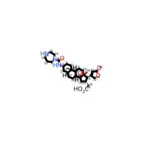 C[C@]12CC[C@H](NC(=O)N3CCCNCC3)C[C@H]1CC[C@@H]1[C@@H]2CC[C@]2(C)[C@@H](C3=CC(=O)OC3)[C@H](CC(=O)O)C[C@]12O